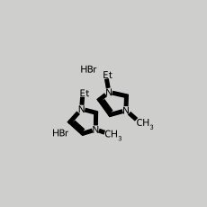 Br.Br.CCN1C=CN(C)C1.CCN1C=CN(C)C1